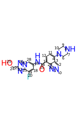 Cn1cc2c(N3CCNCC3)ccc(C(=O)Nc3cc(F)c4nc(CO)nn4c3)c2n1